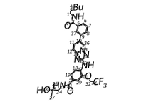 CC(C)(C)CNC(=O)c1cccc(-c2ccc3nc(Nc4ccc(C(=O)NCC(C)(C)O)cc4OCC(F)(F)F)nn3c2)c1